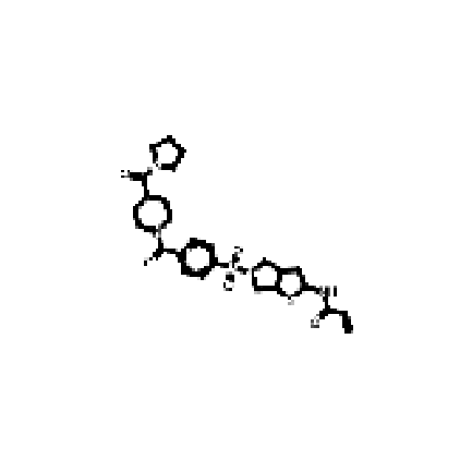 C=CC(=O)NC1CC2CN(S(=O)(=O)c3ccc(C(=O)N4CCC(C(=O)N5CCCC5)CC4)cc3)CC2S1